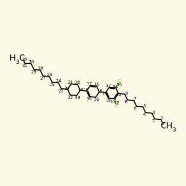 CCCCCCCCCCc1c(F)cc(C2C=CC(C3CCC(CCCCCCCCCC)CC3)=CC2)cc1F